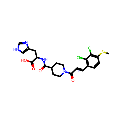 CSc1ccc(/C=C/C(=O)N2CCC(C(=O)NC(Cc3c[nH]cn3)C(=O)O)CC2)c(Cl)c1Cl